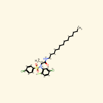 CCCCCCCCCCCCCCNC(=O)[C@@H](C)N(c1cc(Cl)ccc1F)S(=O)(=O)c1ccc(Cl)cc1